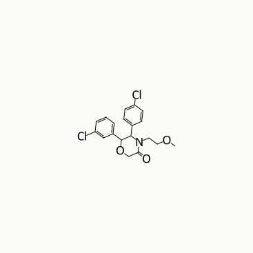 COCCN1C(=O)COC(c2cccc(Cl)c2)C1c1ccc(Cl)cc1